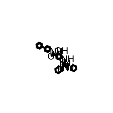 O=C(Nc1ccc(-c2ccccc2)cc1)c1ccc(Nc2nc(N3CCCCC3)nc(N3CCCCC3)n2)cc1O